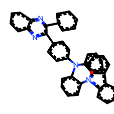 c1ccc(-c2nc3ccccc3nc2-c2ccc(N(c3ccccc3)c3ccccc3-n3c4ccccc4c4ccccc43)cc2)cc1